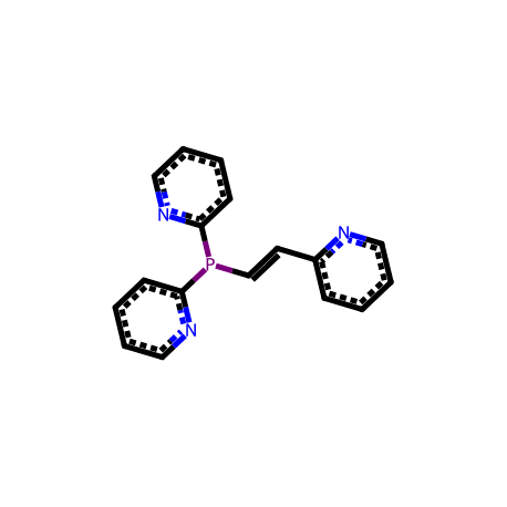 C(=CP(c1ccccn1)c1ccccn1)c1ccccn1